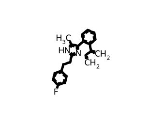 C=CC(=C)c1ccccc1-c1nc(CCc2ccc(F)cc2)[nH]c1C